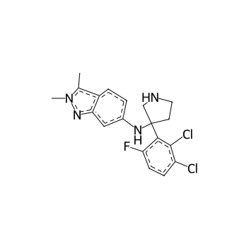 Cc1c2ccc(NC3(c4c(F)ccc(Cl)c4Cl)CCNC3)cc2nn1C